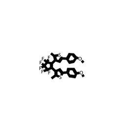 COc1ccc(-c2cc(C3=C(c4cc(-c5ccc(OC)cc5)sc4C)C(F)(F)C(F)(F)C3(F)F)c(C)s2)cc1